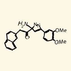 COc1ccc(C2=CC(N)(C(=O)Cc3ccc4ccccc4c3)N=N2)cc1OC